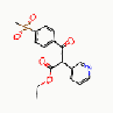 CCOC(=O)C(C(=O)c1ccc(S(C)(=O)=O)cc1)c1cccnc1